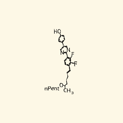 CCCCCOC(C)CCCC=Cc1ccc(-c2ncc(-c3ccc(O)cc3)cn2)c(F)c1F